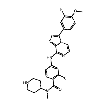 COc1ccc(-c2cnc3c(Nc4ccc(C(=O)N(C)C5CCNCC5)c(Cl)c4)nccn23)cc1F